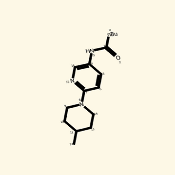 CCCCC(=O)Nc1ccc(N2CCC(C)CC2)nc1